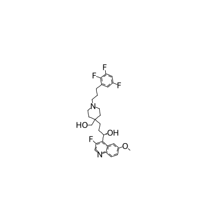 COc1ccc2ncc(F)c([C@H](O)CCC3(CO)CCN(CCCc4cc(F)cc(F)c4F)CC3)c2c1